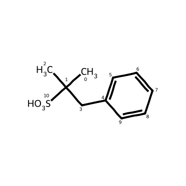 CC(C)(Cc1ccccc1)S(=O)(=O)O